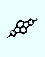 Fc1cc2c(s1)-c1ccc3c4c(ccc-2c14)-c1sc(F)cc1-3